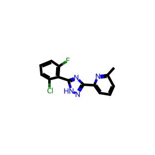 Cc1cccc(-c2n[nH]c(-c3c(F)cccc3Cl)n2)n1